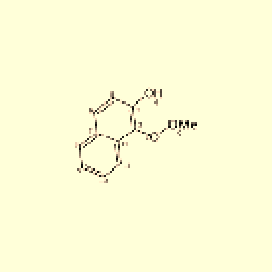 COOc1c(O)ccc2ccccc12